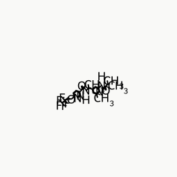 Cc1cc(C(C)NC(=O)c2ccc(OCC(F)(F)C(F)(F)F)nn2)cc(NC(=O)C(C)C)n1